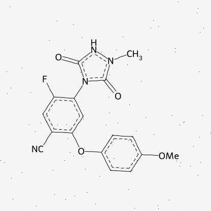 COc1ccc(Oc2cc(-n3c(=O)[nH]n(C)c3=O)c(F)cc2C#N)cc1